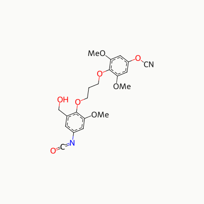 COc1cc(N=C=O)cc(CO)c1OCCCOc1c(OC)cc(OC#N)cc1OC